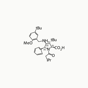 COc1ccc(C(C)(C)C)cc1CN[C@H]1[C@H](C(C)(C)C)[C@@H](C(=O)O)N(C(=O)CC(C)C)[C@H]1c1ccccc1